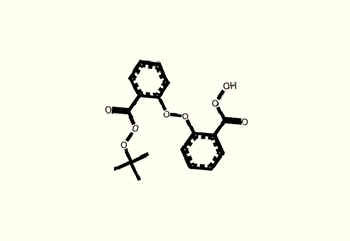 CC(C)(C)OOC(=O)c1ccccc1OOc1ccccc1C(=O)OO